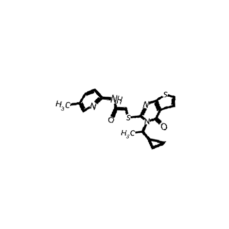 Cc1ccc(NC(=O)CSc2nc3sccc3c(=O)n2C(C)C2CC2)nc1